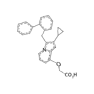 O=C(O)COc1cccn2c(Cc3ccccc3-c3ccccc3)c(C3CC3)cc12